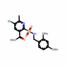 COC(=O)c1cc(Br)c(C)nc1S(=O)(=O)NCc1ccc(OC)cc1OC